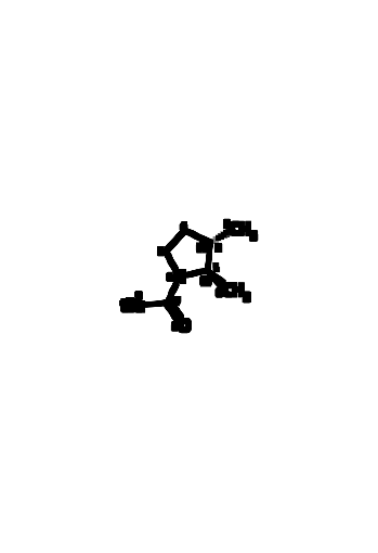 C[C@@H]1[C@@H](C)CCN1C(=O)C(C)(C)C